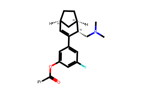 CC(C)C(=O)Oc1cc(F)cc(C2=C[C@H]3CC[C@H](C3)[C@@H]2CN(C)C)c1